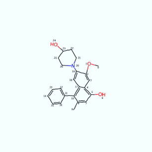 COc1cc2c(O)cc(C)c(-c3ccccc3)c2cc1N1CCC(O)CC1